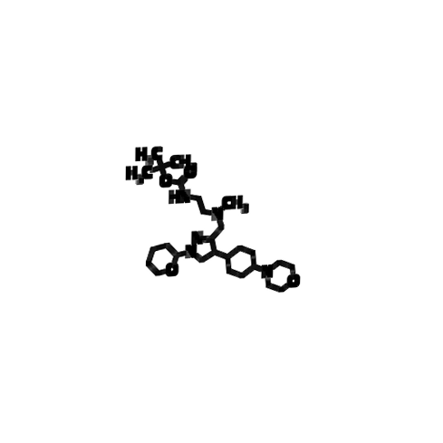 CN(CCNC(=O)OC(C)(C)C)CC1=NN(C2CCCCO2)CC1C1CCC(N2CCOCC2)CC1